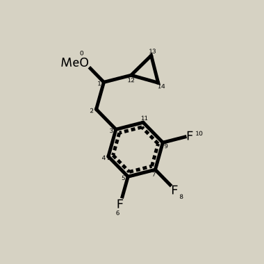 COC(Cc1[c]c(F)c(F)c(F)c1)C1CC1